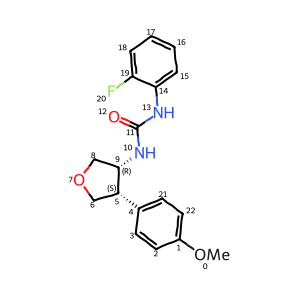 COc1ccc([C@@H]2COC[C@@H]2NC(=O)Nc2ccccc2F)cc1